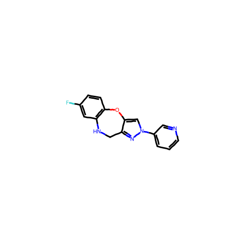 Fc1ccc2c(c1)NCc1nn(-c3cccnc3)cc1O2